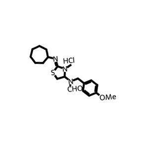 COc1ccc(CN(C=O)C2CSC(=NC3CCCCCC3)N2C)cc1.Cl